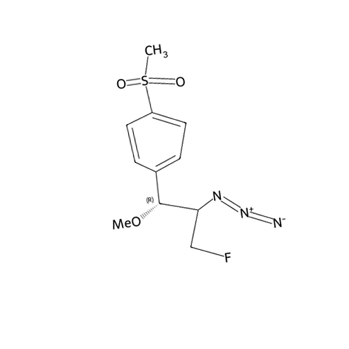 CO[C@H](c1ccc(S(C)(=O)=O)cc1)C(CF)N=[N+]=[N-]